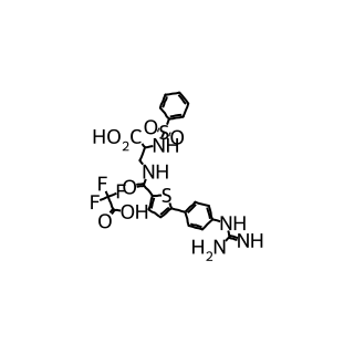 N=C(N)Nc1ccc(-c2ccc(C(=O)NCC(NS(=O)(=O)c3ccccc3)C(=O)O)s2)cc1.O=C(O)C(F)(F)F